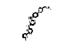 Cc1cccc(-c2nccc(Nc3ccnc(Nc4ccc(N5CCC(CN)CC5)cc4)n3)n2)n1